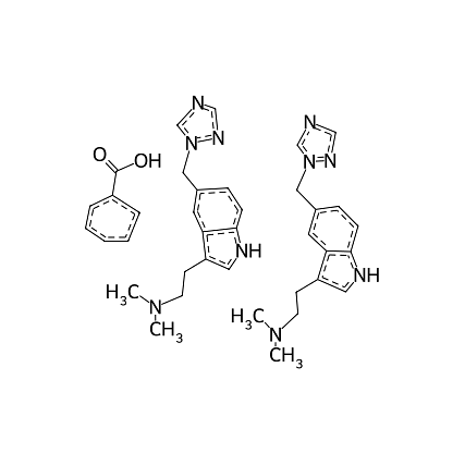 CN(C)CCc1c[nH]c2ccc(Cn3cncn3)cc12.CN(C)CCc1c[nH]c2ccc(Cn3cncn3)cc12.O=C(O)c1ccccc1